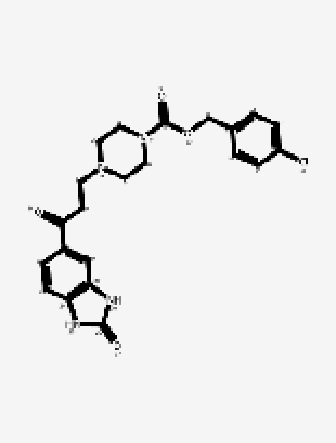 O=C(CCN1CCN(C(=O)OCc2ccc(Cl)cc2)CC1)c1ccc2[nH]c(=O)[nH]c2c1